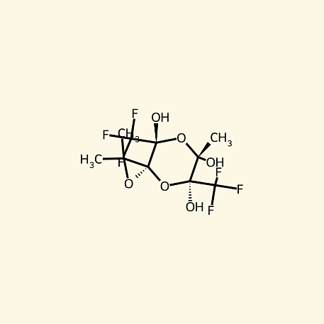 CC1(C)O[C@]12O[C@](O)(C(F)(F)F)[C@@](C)(O)O[C@@]2(O)C(F)(F)F